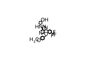 COc1ccc(COc2cc(C(F)(F)F)ccc2-c2nnc(N[C@@H]3CC[C@H](O)C3)c3cnccc23)cc1